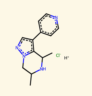 CC1Cn2ncc(-c3ccncc3)c2C(C)N1.[Cl-].[H+]